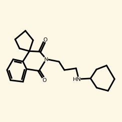 O=C1c2ccccc2C2(CCCC2)C(=O)N1CCCNC1CCCCC1